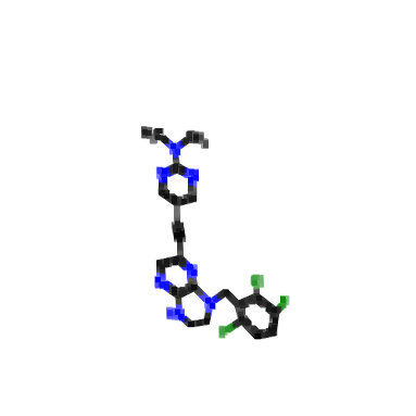 CN(C)c1ncc(C#Cc2cnc3c(n2)N(Cc2c(F)ccc(F)c2Cl)CCN3)cn1